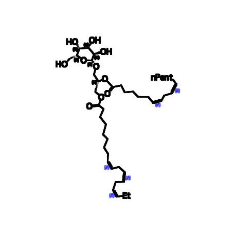 CC/C=C\C/C=C\C/C=C\CCCCCCCC(=O)OC[C@H](CO[C@@H]1O[C@H](CO)[C@H](O)[C@H](O)[C@H]1O)OC(=O)CCCCC/C=C\C/C=C\CCCCC